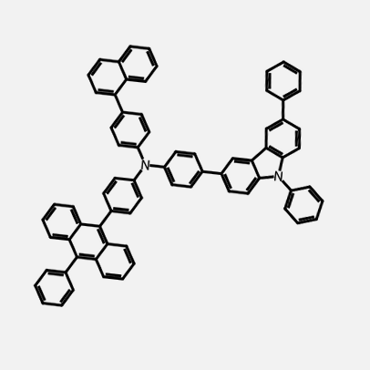 c1ccc(-c2ccc3c(c2)c2cc(-c4ccc(N(c5ccc(-c6cccc7ccccc67)cc5)c5ccc(-c6c7ccccc7c(-c7ccccc7)c7ccccc67)cc5)cc4)ccc2n3-c2ccccc2)cc1